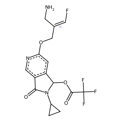 NC/C(=C\F)COc1cc2c(cn1)C(=O)N(C1CC1)C2OC(=O)C(F)(F)F